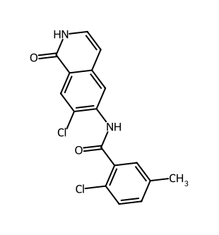 Cc1ccc(Cl)c(C(=O)Nc2cc3cc[nH]c(=O)c3cc2Cl)c1